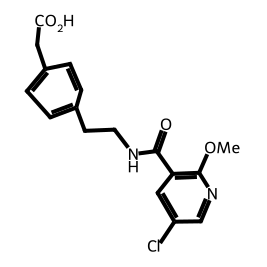 COc1ncc(Cl)cc1C(=O)NCCc1ccc(CC(=O)O)cc1